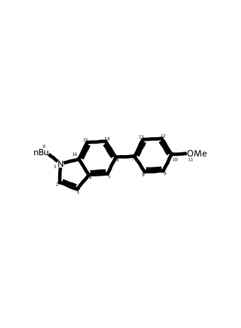 CCCCn1c[c]c2cc(-c3ccc(OC)cc3)ccc21